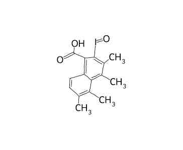 Cc1ccc2c(C(=O)O)c(I=O)c(C)c(C)c2c1C